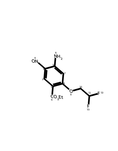 CCOC(=O)c1cc(N=O)c(N)cc1OCC(F)F